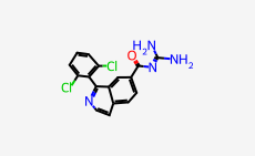 NC(N)=NC(=O)c1ccc2ccnc(-c3c(Cl)cccc3Cl)c2c1